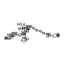 CNC(=O)[C@H](CC(C)C)NC(=O)[C@H](C)NC(=O)OCc1ccc(NC(=O)[C@H](CCCNC(N)=O)NCC(C=O)(NC(=O)[C@@H](CCC(=O)O)NC(=O)CCOCCOCCOCCOCCNC(=O)OCC2C3CCc4nnn(C)c4CCC32)C(C)C)cc1